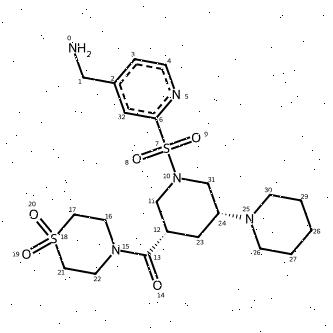 NCc1ccnc(S(=O)(=O)N2C[C@@H](C(=O)N3CCS(=O)(=O)CC3)C[C@@H](N3CCCCC3)C2)c1